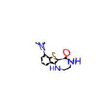 CN(C)c1cccc2c3c(sc12)C(=O)NCCN3